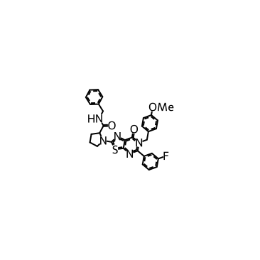 COc1ccc(Cn2c(-c3cccc(F)c3)nc3sc(N4CCCC4C(=O)NCc4ccccc4)nc3c2=O)cc1